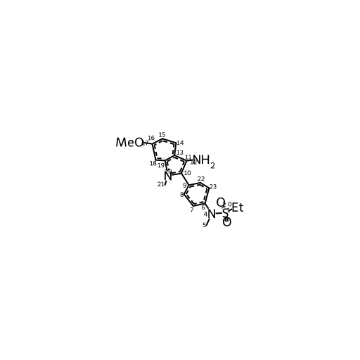 CCS(=O)(=O)N(C)c1ccc(-c2c(N)c3ccc(OC)cc3n2C)cc1